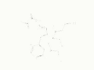 CCCC(=O)C1(c2ccsc2-c2ccccc2)CCN(C)CC1.O=C(O)C(=O)O